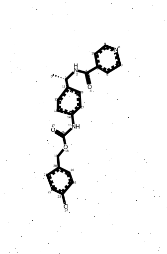 C[C@H](NC(=O)c1ccncc1)c1ccc(NC(=O)OCc2ccc(Cl)cc2)cc1